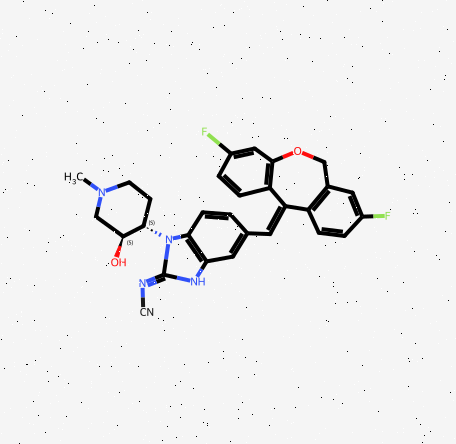 CN1CC[C@H](n2c(=NC#N)[nH]c3cc(C=C4c5ccc(F)cc5COc5cc(F)ccc54)ccc32)[C@@H](O)C1